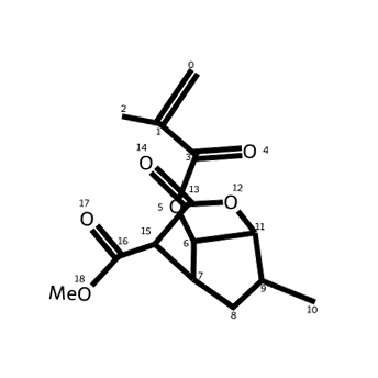 C=C(C)C(=O)OC1C2CC(C)C1OC(=O)C2C(=O)OC